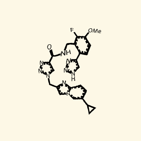 COc1ccc(-c2c[nH]nn2)c(CNC(=O)c2cn(Cc3cn4cc(C5CC5)ccc4n3)nn2)c1F